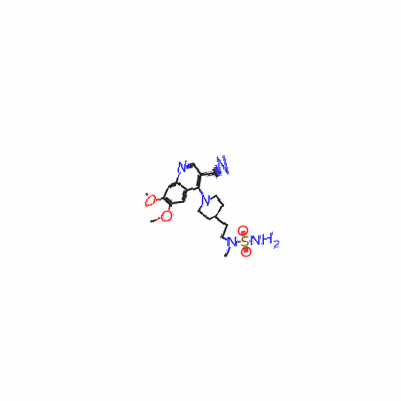 COc1cc2ncc(C#N)c(N3CCC(CCN(C)S(N)(=O)=O)CC3)c2cc1OC